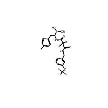 Cc1ccc(CC(NC(=O)C(F)(F)C(=O)NCc2cccc(OC(F)(F)F)c2)B(O)O)cc1